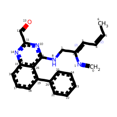 C=N/C(=C\C=C/C)CNc1nc(C=O)nc2cccc(-c3ccccc3)c12